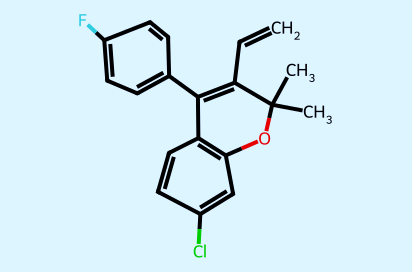 C=CC1=C(c2ccc(F)cc2)c2ccc(Cl)cc2OC1(C)C